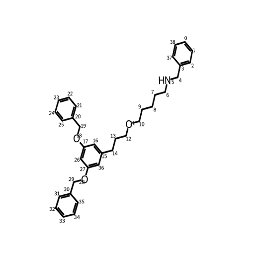 c1ccc(CNCCCCCOCCCc2cc(OCc3ccccc3)cc(OCc3ccccc3)c2)cc1